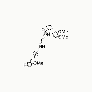 COc1ccc(F)cc1CCC1CCC(CCNCCCCCN2N=C(c3ccc(OC)c(OC)c3)C3CC=CCC3C2=O)O1